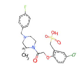 C[C@@H]1CN(Cc2ccc(F)cc2)CCN1C(=O)COc1ccc(Cl)cc1CS(=O)(=O)O